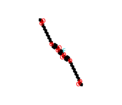 C=CC(=O)OCCCCCCCCCCCCCOc1ccc(C(=O)Oc2ccc(OC(=O)c3ccc(OCCCCCCCCCCCCCOC(=O)C=C)cc3)c(F)c2)cc1